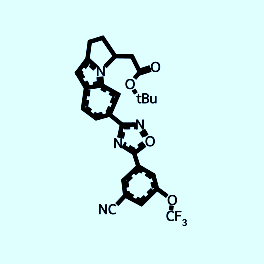 CC(C)(C)OC(=O)CC1CCc2cc3ccc(-c4noc(-c5cc(C#N)cc(OC(F)(F)F)c5)n4)cc3n21